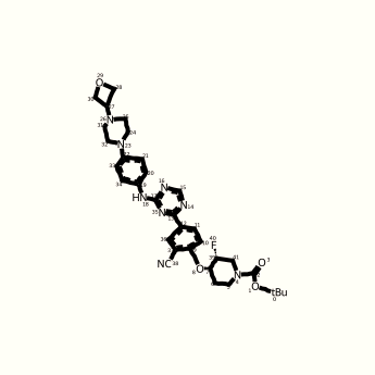 CC(C)(C)OC(=O)N1CC[C@@H](Oc2ccc(-c3ncnc(Nc4ccc(N5CCN(C6COC6)CC5)cc4)n3)cc2C#N)[C@H](F)C1